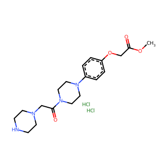 COC(=O)COc1ccc(N2CCN(C(=O)CN3CCNCC3)CC2)cc1.Cl.Cl